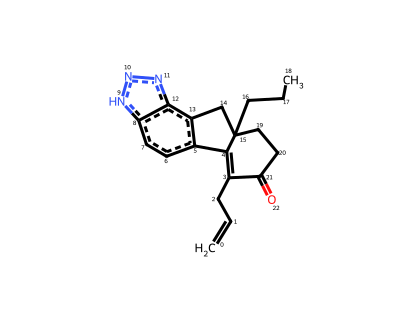 C=CCC1=C2c3ccc4[nH]nnc4c3CC2(CCC)CCC1=O